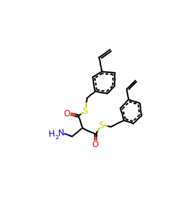 C=Cc1cccc(CSC(=O)C(CN)C(=O)SCc2cccc(C=C)c2)c1